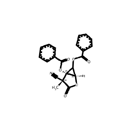 C[C@]1(C#N)C(=O)O[C@@H]2C(OC(=O)c3ccccc3)[C@@]21OC(=O)c1ccccc1